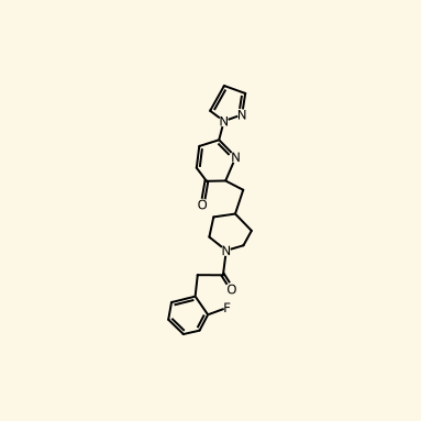 O=C1C=CC(n2cccn2)=NC1CC1CCN(C(=O)Cc2ccccc2F)CC1